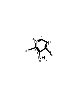 Nc1c(I)ncnc1I